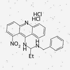 CCC(NCc1ccccc1)Nc1c2ccccc2nc2cccc([N+](=O)[O-])c12.Cl.Cl